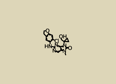 Cn1c(=O)n(C2(CO)CC2)c2nc(Nc3cc4c(cc3Cl)OCC4)ncc21